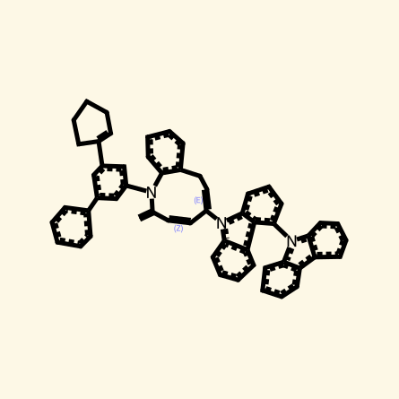 C=C1/C=C\C(n2c3ccccc3c3c(-n4c5ccccc5c5ccccc54)cccc32)=C/Cc2ccccc2N1c1cc(C2=CCCCC2)cc(-c2ccccc2)c1